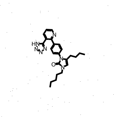 CCCCCn1cc(CCCC)n(-c2ccc(-c3ncccc3-c3nnn[nH]3)cc2)c1=O